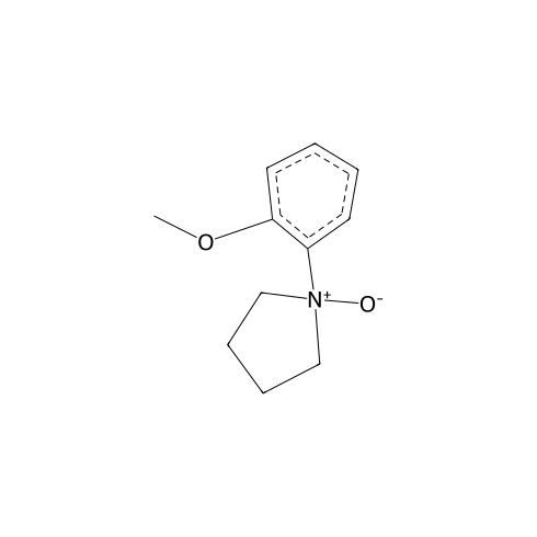 COc1ccccc1[N+]1([O-])CCCC1